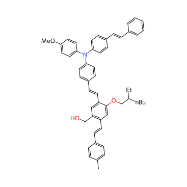 CCCCC(CC)COc1cc(C=Cc2ccc(C)cc2)c(CO)cc1C=Cc1ccc(N(c2ccc(C=Cc3ccccc3)cc2)c2ccc(OC)cc2)cc1